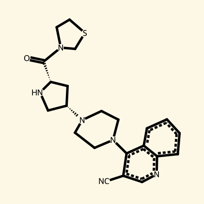 N#Cc1cnc2ccccc2c1N1CCN([C@@H]2CN[C@H](C(=O)N3CCSC3)C2)CC1